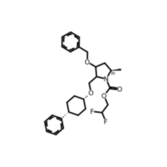 C[C@@H]1CC(OCc2ccccc2)C(CO[C@H]2CC[C@@H](c3ccccc3)CC2)N1C(=O)OCC(F)F